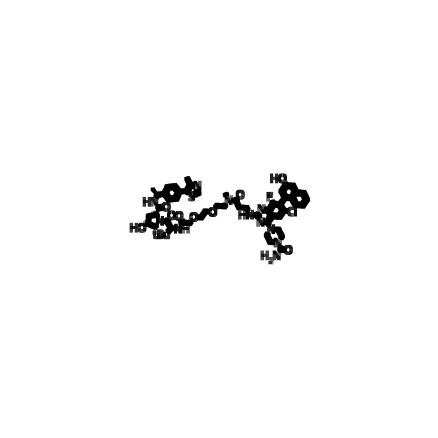 Cc1ncsc1-c1ccc([C@H](C)NC(=O)[C@@H]2C[C@@H](O)CN2C(=O)C(NC(=O)COCCOCCN(C)C(=O)CCNc2nc(N3CCN(C(N)=O)CC3)c3cc(Cl)c(-c4cc(O)cc5ccccc45)c(F)c3n2)C(C)(C)C)cc1